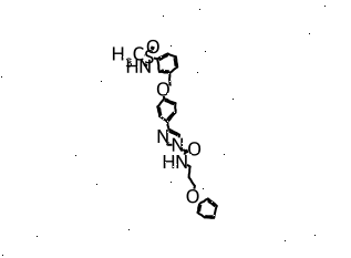 CS(=N)(=O)c1cccc(COc2ccc(-c3cn(C(=O)NCCCOc4ccccc4)cn3)cc2)c1